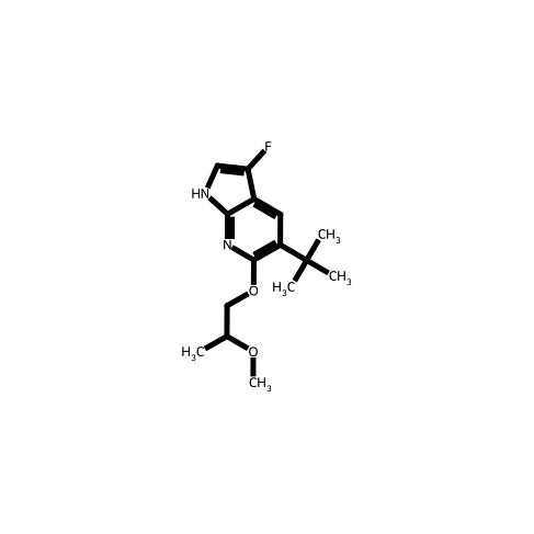 COC(C)COc1nc2[nH]cc(F)c2cc1C(C)(C)C